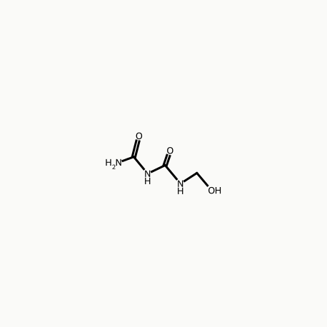 NC(=O)NC(=O)NCO